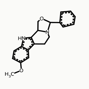 COc1ccc2[nH]c3c(c2c1)CCN1C3COC1c1ccccc1